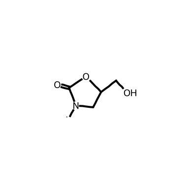 [CH2]N1CC(CO)OC1=O